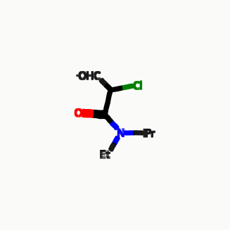 CCN(C(=O)C(Cl)[C]=O)C(C)C